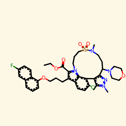 CCOC(=O)c1c(CCCOc2cccc3cc(F)ccc23)c2ccc(Cl)c3c2n1CCCS(=O)(=O)N(C)CCC(N1CCOCC1)c1nn(C)c(C)c1-3